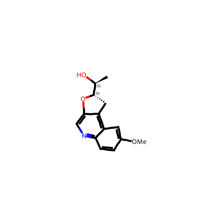 COc1ccc2ncc3c(c2c1)C[C@@H]([C@H](C)O)O3